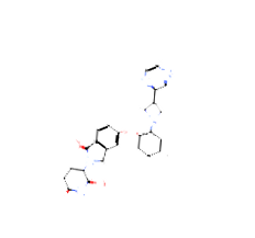 O=C1CCC(N2Cc3cc(OC4CCCCC4N4CC(c5cnccn5)C4)ccc3C2=O)C(=O)N1